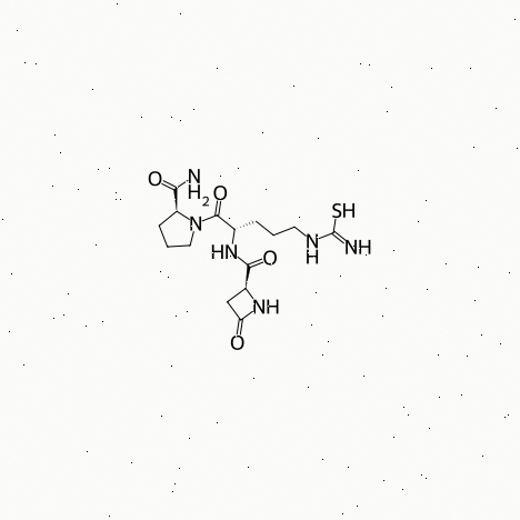 N=C(S)NCCC[C@H](NC(=O)[C@@H]1CC(=O)N1)C(=O)N1CCC[C@H]1C(N)=O